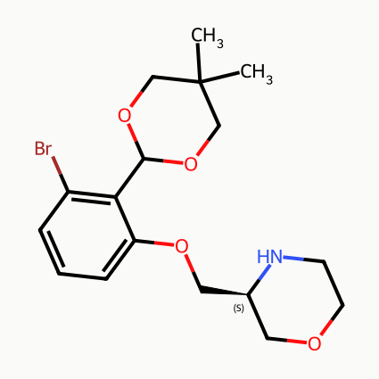 CC1(C)COC(c2c(Br)cccc2OC[C@@H]2COCCN2)OC1